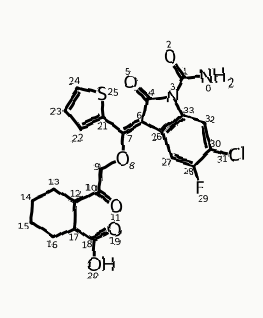 NC(=O)N1C(=O)C(=C(OCC(=O)C2CCCCC2C(=O)O)c2cccs2)c2cc(F)c(Cl)cc21